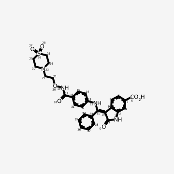 O=C1Nc2cc(C(=O)O)ccc2/C1=C(\Nc1ccc(C(=O)NOCCN2CCS(=O)(=O)CC2)cc1)c1ccccc1